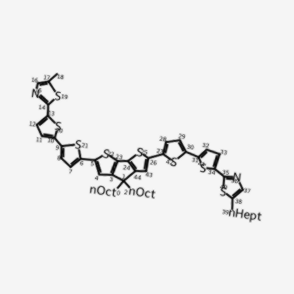 CCCCCCCCC1(CCCCCCCC)c2cc(-c3ccc(-c4ccc(-c5ncc(C)s5)s4)s3)sc2-c2sc(-c3ccc(-c4ccc(-c5ncc(CCCCCCC)s5)s4)s3)cc21